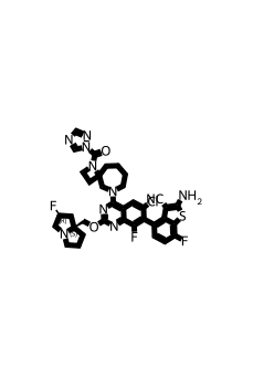 N#Cc1c(N)sc2c(F)ccc(-c3c(Cl)cc4c(N5CCCCC6(CCN6C(=O)n6cncn6)C5)nc(OC[C@@]56CCCN5C[C@H](F)C6)nc4c3F)c12